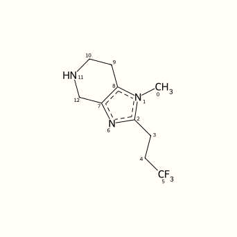 Cn1c(CCC(F)(F)F)nc2c1CCNC2